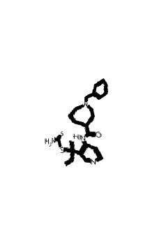 CCC(C)(SC(N)=S)c1cnccc1NC(=O)C1CCCN(Cc2ccccc2)CC1